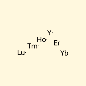 [Er].[Ho].[Lu].[Tm].[Y].[Yb]